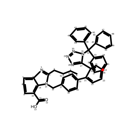 CCCCc1nc2cccc(C(=O)O)c2n1Cc1ccc(-c2ccccc2-c2nnnn2C(c2ccccc2)(c2ccccc2)c2ccccc2)cc1